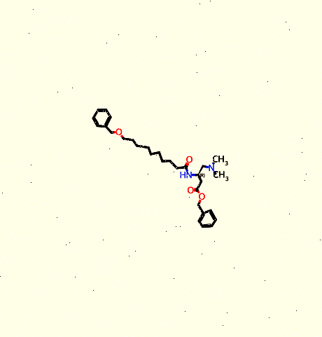 CN(C)C[C@@H](CC(=O)OCc1ccccc1)NC(=O)CCCCCCCCCOCc1ccccc1